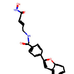 O=C(C=CCNC(=O)c1ccc(-c2cc3ccccc3o2)cc1)NO